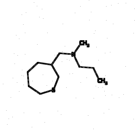 CCCN(C)CC1CCCCSC1